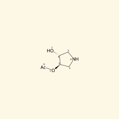 CC(=O)O[C@@H]1CNC[C@H]1O